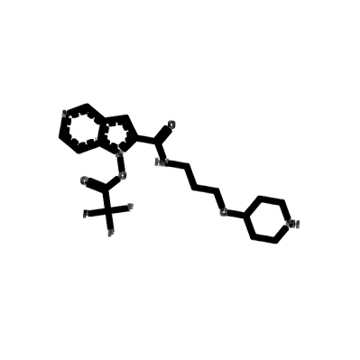 O=C(NCCCOC1CCNCC1)c1cc2cnccc2n1OC(=O)C(F)(F)F